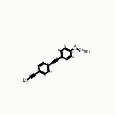 CCC#Cc1ccc(C#Cc2ccc(OCCCCC)cc2)cc1